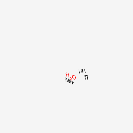 O.[LiH].[Mn].[Ti]